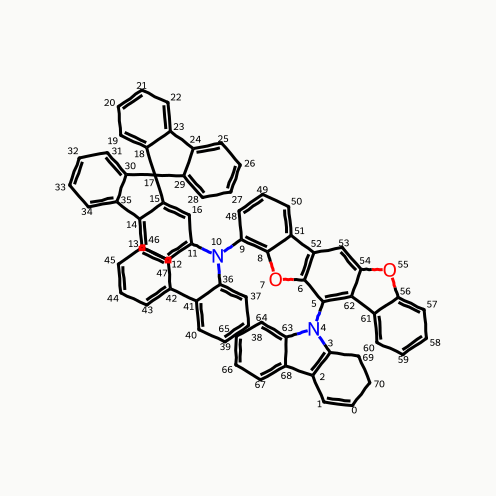 C1=Cc2c(n(-c3c4oc5c(N(c6ccc7c(c6)C6(c8ccccc8-c8ccccc86)c6ccccc6-7)c6ccccc6-c6ccccc6)cccc5c4cc4oc5ccccc5c34)c3ccccc23)CC1